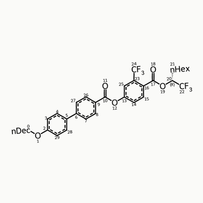 CCCCCCCCCCOc1ccc(-c2ccc(C(=O)Oc3ccc(C(=O)O[C@H](CCCCCC)C(F)(F)F)c(C(F)(F)F)c3)cc2)cc1